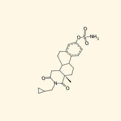 C[C@]12CCC3c4ccc(OS(N)(=O)=O)cc4CCC3C1CC(=O)N(CC1CC1)C2=O